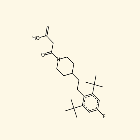 C=C(O)CC(=O)N1CCC(CCc2c(C(C)(C)C)cc(F)cc2C(C)(C)C)CC1